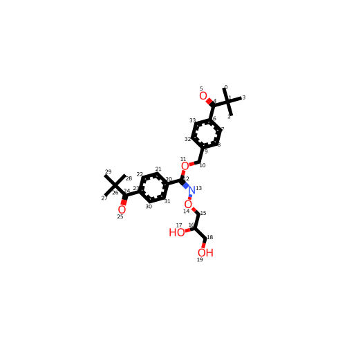 CC(C)(C)C(=O)c1ccc(COC(=NOCC(O)CO)c2ccc(C(=O)C(C)(C)C)cc2)cc1